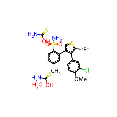 C.CCCc1scc(-c2ccccc2S(N)(=O)=O)c1-c1ccc(OC)c(Cl)c1.NC(O)=S.NC(O)=S.O